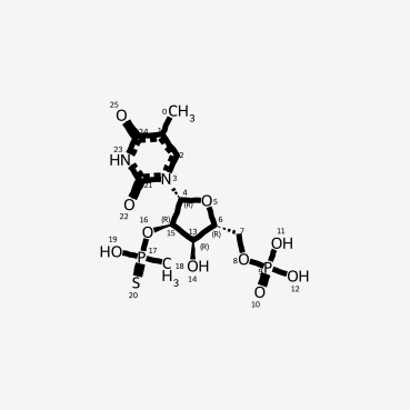 Cc1cn([C@@H]2O[C@H](COP(=O)(O)O)[C@@H](O)[C@H]2OP(C)(O)=S)c(=O)[nH]c1=O